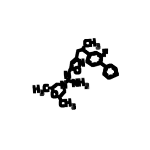 CC1CN(C(N)=Nc2cc(CC(C)c3ccc(-c4ccccc4)c(F)c3)no2)CC(C)O1